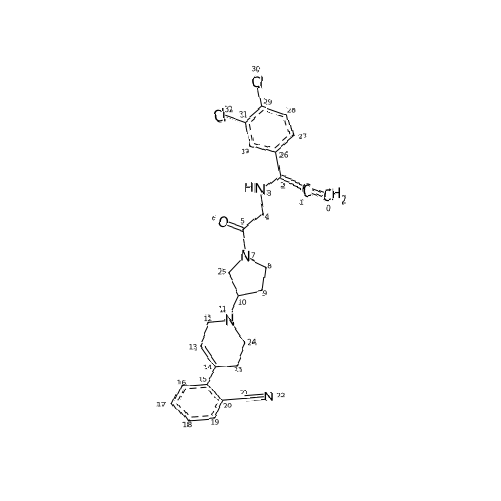 C=C=C(NCC(=O)N1CCC(N2CC=C(c3ccccc3C#N)CC2)C1)c1ccc(Cl)c(Cl)c1